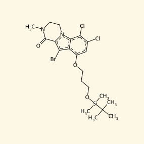 CN1CCn2c(c(Br)c3c(OCCCO[Si](C)(C)C(C)(C)C)cc(Cl)c(Cl)c32)C1=O